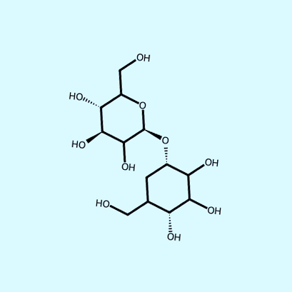 OCC1C[C@H](O[C@@H]2OC(CO)[C@@H](O)[C@H](O)C2O)C(O)C(O)[C@@H]1O